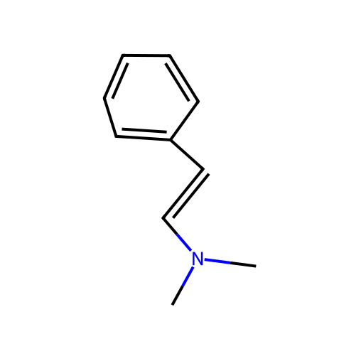 CN(C)C=Cc1ccccc1